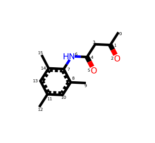 CC(=O)CC(=O)Nc1c(C)cc(C)cc1C